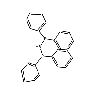 B(P(c1ccccc1)c1ccccc1)P(c1ccccc1)c1ccccc1